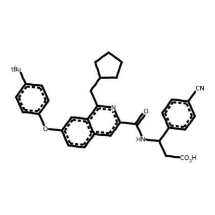 CC(C)(C)c1ccc(Oc2ccc3cc(C(=O)NC(CC(=O)O)c4ccc(C#N)cc4)nc(CC4CCCC4)c3c2)cc1